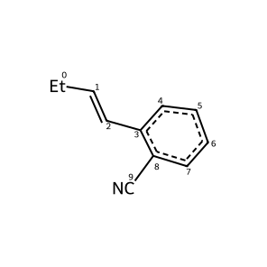 CCC=Cc1ccccc1C#N